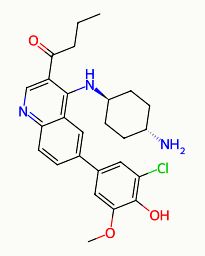 CCCC(=O)c1cnc2ccc(-c3cc(Cl)c(O)c(OC)c3)cc2c1N[C@H]1CC[C@H](N)CC1